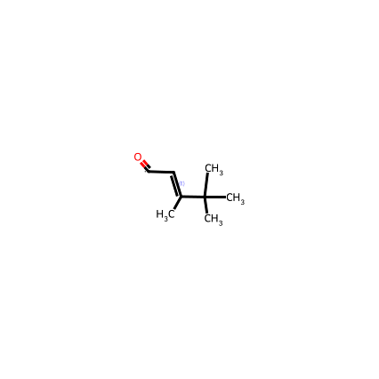 C/C(=C\[C]=O)C(C)(C)C